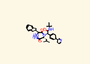 CC(C)C[C@@H]1C(=O)NC(C2Cc3ccccc3C2)C(=O)N1[C@@H](C(=O)NC(C)(C)C)c1ccc(-c2cccnc2)cc1